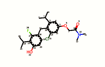 CC(C)c1cc(OCC(=O)N(C)C)cc(Cl)c1Cc1ccc(O)c(C(C)C)c1F